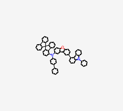 c1ccc(-c2ccc(N(c3ccc4oc5ccc(-c6cccc7c6c6ccccc6n7-c6ccccc6)cc5c4c3)c3cccc4c3-c3ccccc3C43c4ccccc4-c4ccccc43)cc2)cc1